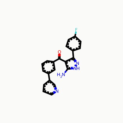 Nc1[nH]nc(-c2ccc(F)cc2)c1C(=O)c1cccc(-c2cccnc2)c1